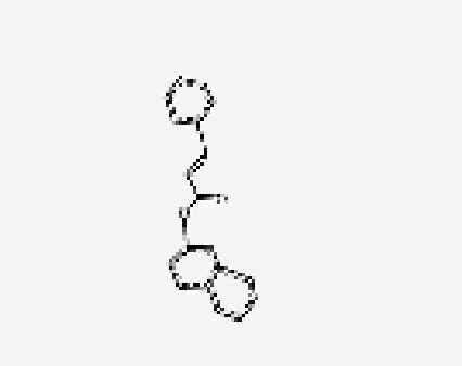 O=C(/C=C/c1ccccc1)Oc1ccc2ccccc2c1